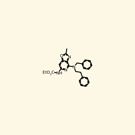 CCOC(=O)Nc1cc2oc(C)nc2c(N(CCc2ccccc2)Cc2ccccc2)n1